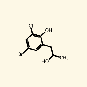 CC(O)Cc1cc(Br)cc(Cl)c1O